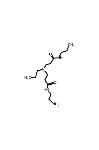 CCCNC(=O)CCN(CCC)CCC(=O)NCCN